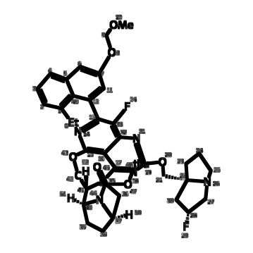 CCc1cccc2cc(OCOC)cc(-c3nc4c5c(nc(OC[C@]67CCCN6C[C@H](F)C7)nc5c3F)N3C[C@H]5CC[C@@H]([C@@H]3CO4)N5C(=O)OC(C)(C)C)c12